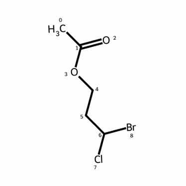 CC(=O)OCCC(Cl)Br